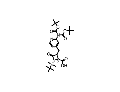 CC(C)(C)OC(=O)N(C(=O)OC(C)(C)C)c1cc(CC2C(=O)N([Si](C)(C)C(C)(C)C)[C@@H]2C(=O)O)ccn1